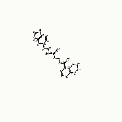 O=C(CCCC(=O)N1CCCC2CCCCC21)NCCc1ccc2c(c1)OCO2